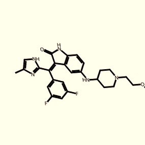 COCCN1CCC(Nc2ccc3c(c2)/C(=C(\c2cc(F)cc(F)c2)c2nc(C)c[nH]2)C(=O)N3)CC1